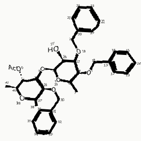 CC(=O)O[C@@H]1C(O[C@@H]2OC(C)[C@H](OCc3ccccc3)C(OCc3ccccc3)[C@@H]2O)[C@@H](OCc2ccccc2)C(C)O[C@H]1C